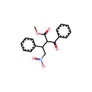 COC(=O)C(C(=O)c1ccccc1)C(C[N+](=O)[O-])c1ccccc1